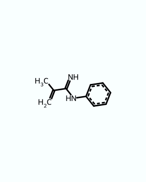 C=C(C)C(=N)Nc1ccccc1